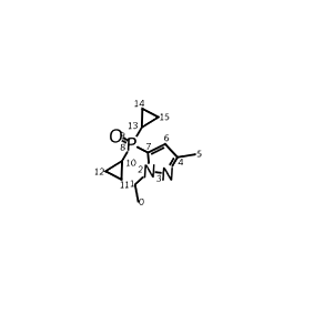 CCn1nc(C)cc1P(=O)(C1CC1)C1CC1